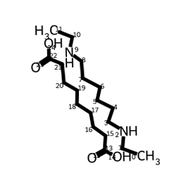 CCNCCCCCCNCC.O=C(O)CCCCCCCC(=O)O